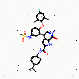 Cc1cc(F)cc(C)c1Oc1ccc(NS(C)(=O)=O)cc1-c1cn(C)c(=O)c2[nH]c(C(=O)Nc3ccc(C(C)C)cc3)cc12